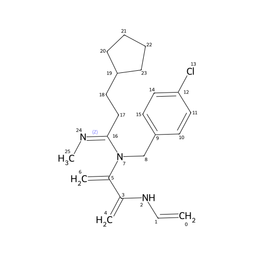 C=CNC(=C)C(=C)N(Cc1ccc(Cl)cc1)/C(CCC1CCCC1)=N\C